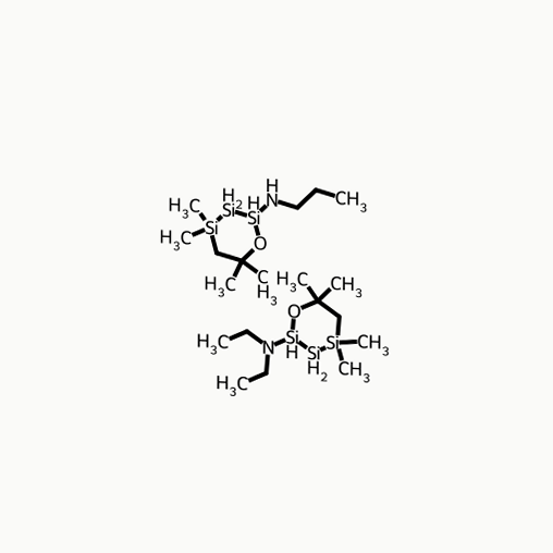 CCCN[SiH]1OC(C)(C)C[Si](C)(C)[SiH2]1.CCN(CC)[SiH]1OC(C)(C)C[Si](C)(C)[SiH2]1